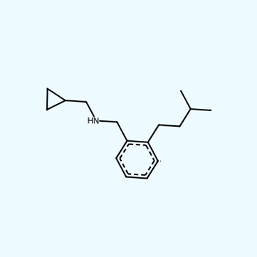 CC(C)CCc1[c]cccc1CNCC1CC1